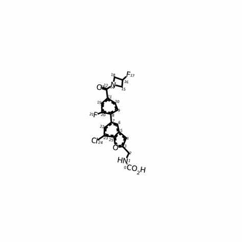 O=C(O)NCc1cc2cc(-c3ccc(C(=O)N4CC(F)C4)cc3F)cc(Cl)c2o1